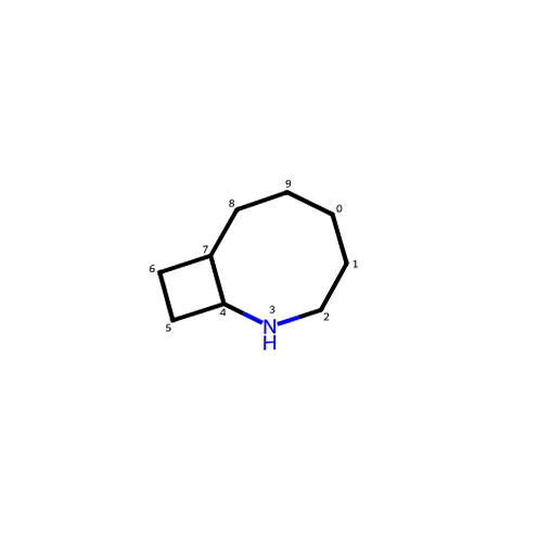 C1CCNC2CCC2CC1